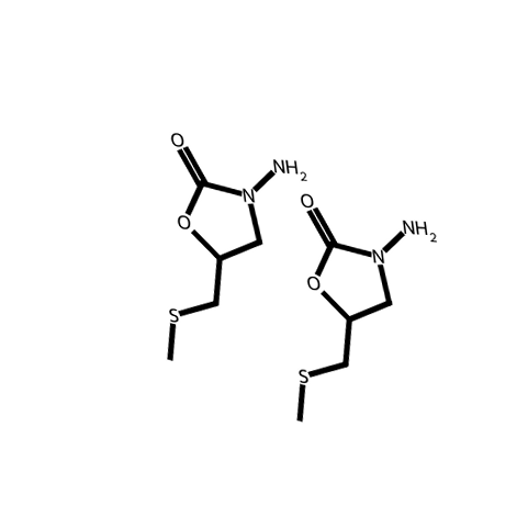 CSCC1CN(N)C(=O)O1.CSCC1CN(N)C(=O)O1